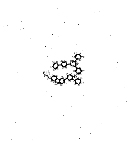 CCCCc1ccc2c(c1)oc1ccc(-c3ccc4c(c3)c3ccccc3n4-c3cccc(-c4nc(-c5ccccc5)nc(-c5ccc(-c6ccccc6)cc5)n4)c3)cc12